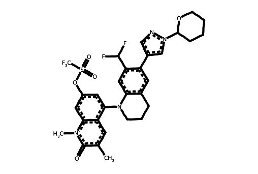 Cc1cc2c(N3CCCc4cc(-c5cnn(C6CCCCO6)c5)c(C(F)F)cc43)cc(OS(=O)(=O)C(F)(F)F)cc2n(C)c1=O